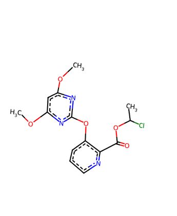 COc1cc(OC)nc(Oc2cccnc2C(=O)OC(C)Cl)n1